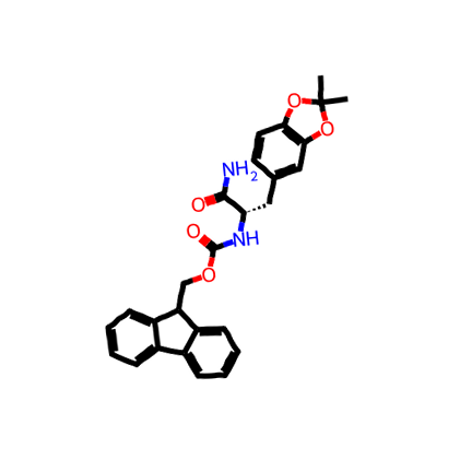 CC1(C)Oc2ccc(C[C@H](NC(=O)OCC3c4ccccc4-c4ccccc43)C(N)=O)cc2O1